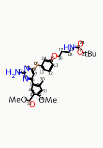 COC(=O)c1cc(-c2cc(Sc3cccc(OCCCNC(=O)OC(C)(C)C)c3)nc(N)n2)c(C)cc1OC